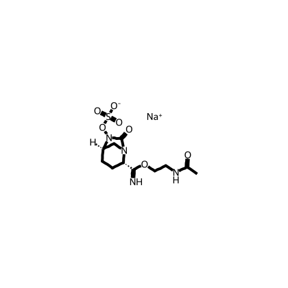 CC(=O)NCCOC(=N)[C@@H]1CC[C@@H]2CN1C(=O)N2OS(=O)(=O)[O-].[Na+]